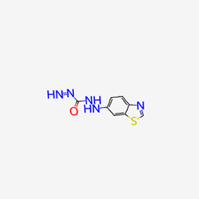 N=NC(=O)NNc1ccc2ncsc2c1